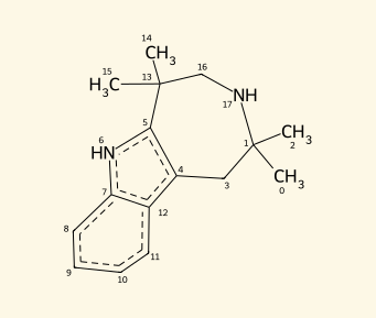 CC1(C)Cc2c([nH]c3ccccc23)C(C)(C)CN1